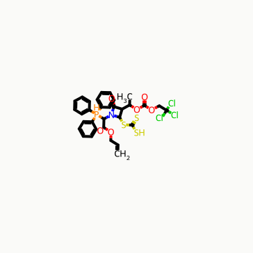 C=CCOC(=O)C(N1C(=O)C(C(C)OC(=O)OCC(Cl)(Cl)Cl)C1SC(=S)S)[PH](c1ccccc1)(c1ccccc1)c1ccccc1